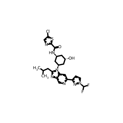 CC(C)Cc1nc2cnc(-c3ccn(C(F)F)n3)cc2n1[C@@H]1C[C@@H](O)C[C@H](NC(=O)c2ncc(Cl)s2)C1